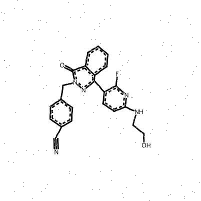 N#Cc1ccc(Cn2nc(-c3ccc(NCCO)nc3F)c3ccccc3c2=O)cc1